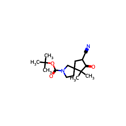 CC(C)(C)OC(=O)N1CCC2(CC(C#N)C(=O)C2(C)C)C1